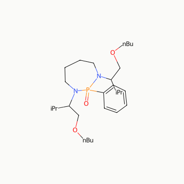 CCCCOCC(C(C)C)N1CCCCN(C(COCCCC)C(C)C)P1(=O)c1ccccc1